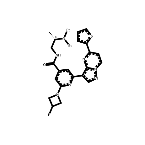 CCN(CC)[C@@H](C)CNC(=O)c1cc(-c2cnn3ccc(-c4cccs4)nc23)nc(N2CC(F)C2)c1